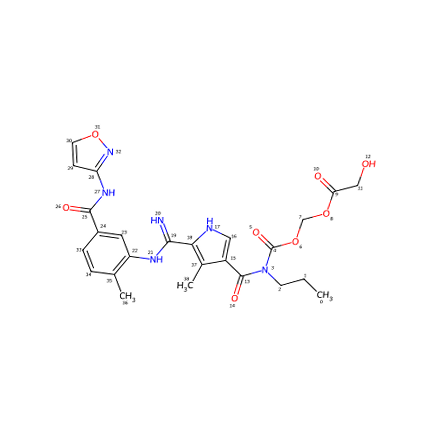 CCCN(C(=O)OCOC(=O)CO)C(=O)c1c[nH]c(C(=N)Nc2cc(C(=O)Nc3ccon3)ccc2C)c1C